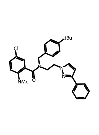 CNc1ccc(Cl)cc1C(=O)N(CCn1ccc(-c2ccccc2)n1)Cc1ccc(C(C)(C)C)cc1